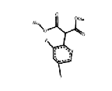 COC(=O)C(C(=O)OC(C)(C)C)c1ncc(I)cc1F